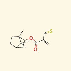 C=C(C=S)C(=O)OC1CC2CCC1(C)C2(C)C